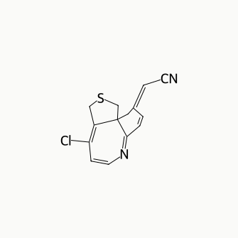 N#CC=C1C=CC2=NC=CC(Cl)=C3CSCC23C1